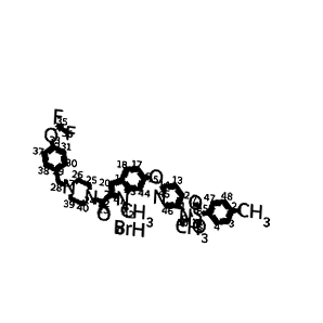 Br.Cc1ccc(S(=O)(=O)N(C)c2ccc(Oc3ccc4cc(C(=O)N5CCN(Cc6ccc(OC(F)F)cc6)CC5)n(C)c4c3)nc2)cc1